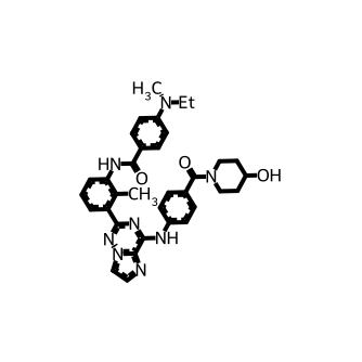 CCN(C)c1ccc(C(=O)Nc2cccc(-c3nc(Nc4ccc(C(=O)N5CCC(O)CC5)cc4)c4nccn4n3)c2C)cc1